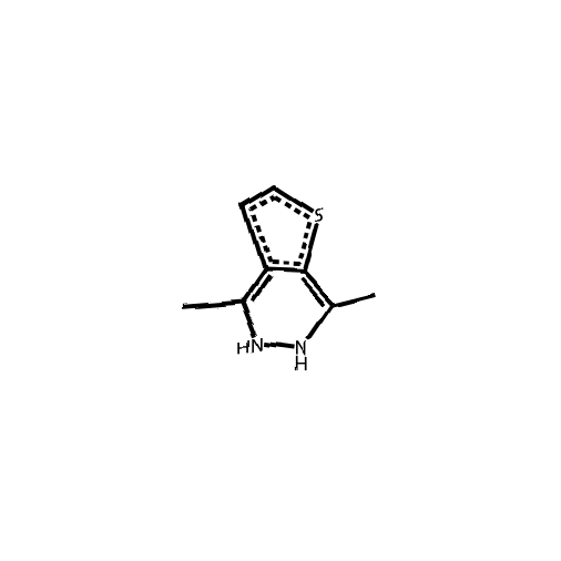 CC1=c2ccsc2=C(C)NN1